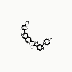 CN1CCN(c2cc(C(=O)Nc3cc4cc(-c5ncc(Cl)s5)ncc4cn3)ccn2)CC1